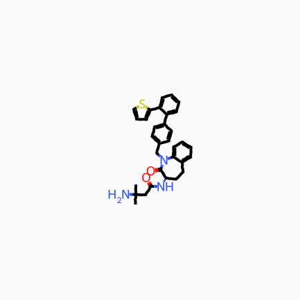 CC(C)(N)CC(=O)N[C@@H]1CCc2ccccc2N(Cc2ccc(-c3ccccc3-c3cccs3)cc2)C1=O